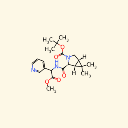 COC(=O)C(NC(=O)[C@@H]1[C@@H]2[C@H](CN1C(=O)OC(C)(C)C)C2(C)C)c1cccnc1